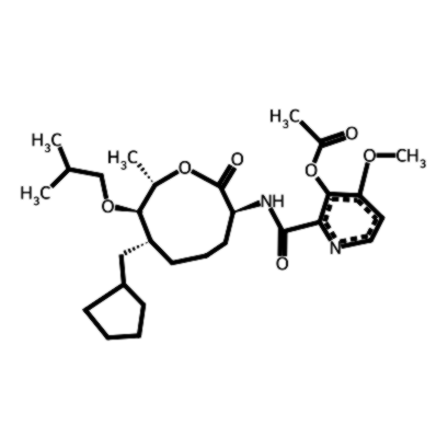 COc1ccnc(C(=O)N[C@H]2CCC[C@H](CC3CCCC3)[C@@H](OCC(C)C)[C@H](C)OC2=O)c1OC(C)=O